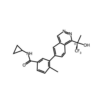 Cc1ccc(C(=O)NC2CC2)cc1-c1ccc2c([C@](C)(O)C(F)(F)F)nncc2c1